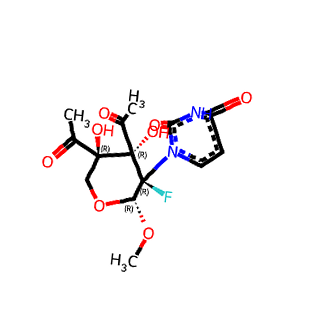 CO[C@@H]1OC[C@](O)(C(C)=O)[C@@](O)(C(C)=O)[C@]1(F)n1ccc(=O)[nH]c1=O